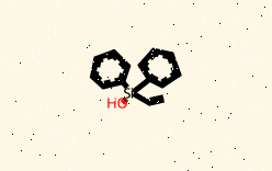 C=C[Si](O)(c1ccccc1)c1ccccc1